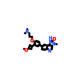 COC1CC(c2cc(-c3ccc4ncc5c([nH]c(=O)n5C)c4c3)ccc2OCCCN(C)C)C1